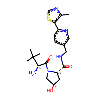 Cc1ncsc1-c1ccc(CNC(=O)[C@@H]2C[C@@H](O)CN2C(=O)[C@@H](N)C(C)(C)C)cn1